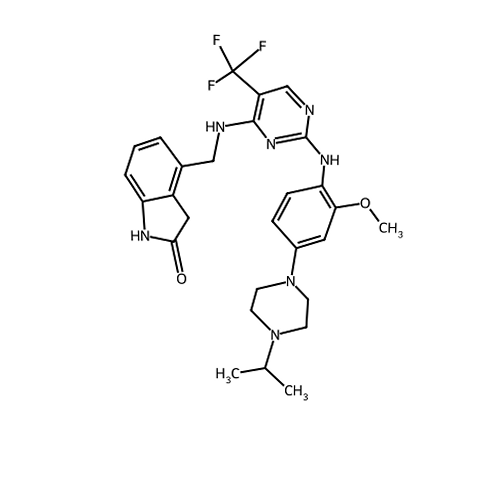 COc1cc(N2CCN(C(C)C)CC2)ccc1Nc1ncc(C(F)(F)F)c(NCc2cccc3c2CC(=O)N3)n1